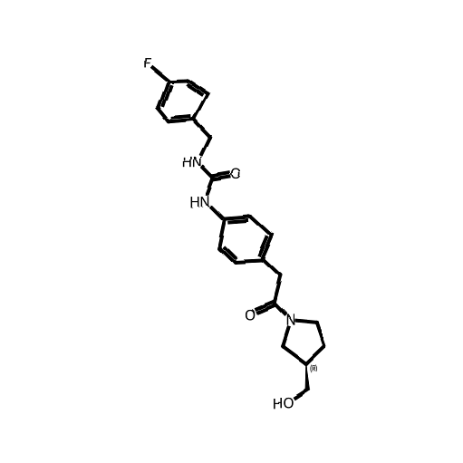 O=C(NCc1ccc(F)cc1)Nc1ccc(CC(=O)N2CC[C@@H](CO)C2)cc1